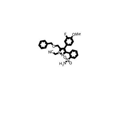 COc1ccc(-c2c(-c3ccccc3S(N)(=O)=O)nn(CC#N)c2COCc2ccccc2)cc1F